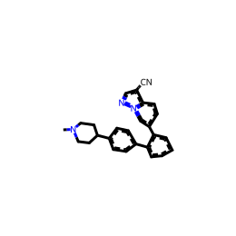 CN1CCC(c2ccc(-c3ccccc3-c3ccc4c(C#N)cnn4c3)cc2)CC1